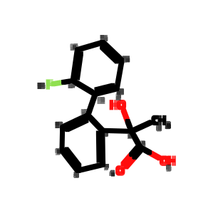 CC(O)(C(=O)O)c1ccccc1-c1ccccc1F